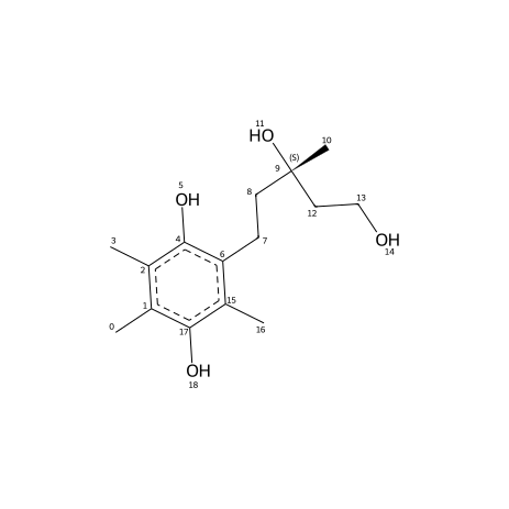 Cc1c(C)c(O)c(CC[C@](C)(O)CCO)c(C)c1O